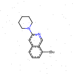 CC(C)(C)c1cccc2cc(N3CCCCC3)ncc12